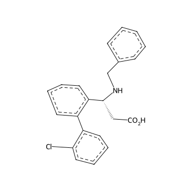 O=C(O)C[C@@H](NCc1ccccc1)c1ccccc1-c1ccccc1Cl